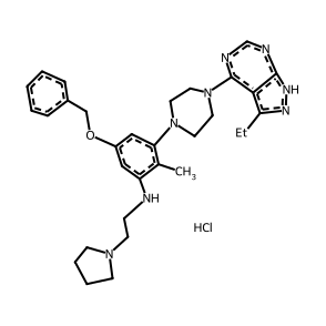 CCc1n[nH]c2ncnc(N3CCN(c4cc(OCc5ccccc5)cc(NCCN5CCCC5)c4C)CC3)c12.Cl